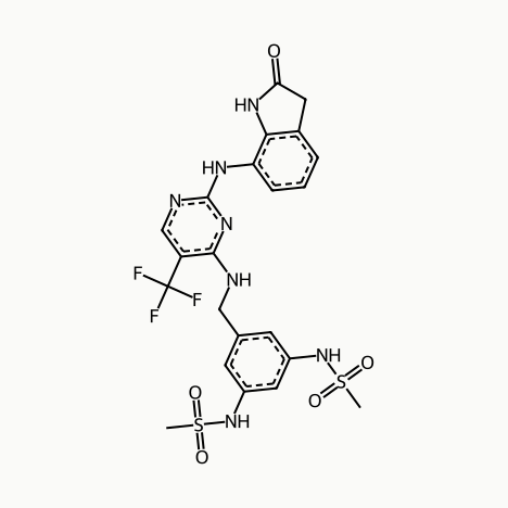 CS(=O)(=O)Nc1cc(CNc2nc(Nc3cccc4c3NC(=O)C4)ncc2C(F)(F)F)cc(NS(C)(=O)=O)c1